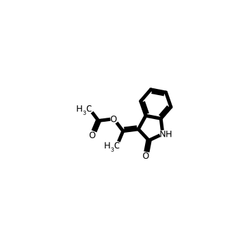 CC(=O)OC(C)=C1C(=O)Nc2ccccc21